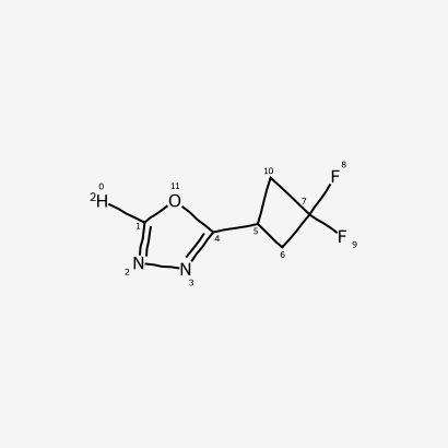 [2H]c1nnc(C2CC(F)(F)C2)o1